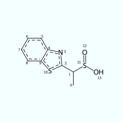 CC(c1nc2ccccc2s1)S(=O)O